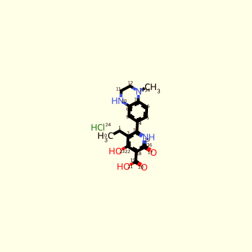 CCc1c(-c2ccc3c(c2)NCCN3C)[nH]c(=O)c(C(=O)O)c1O.Cl